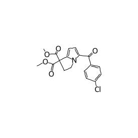 COC(=O)C1(C(=O)OC)CCn2c(C(=O)c3ccc(Cl)cc3)ccc21